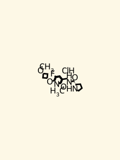 COc1nc(OC2CC(OC)C2)c(F)cc1CNC(=O)[C@@H]1CCCN1.Cl